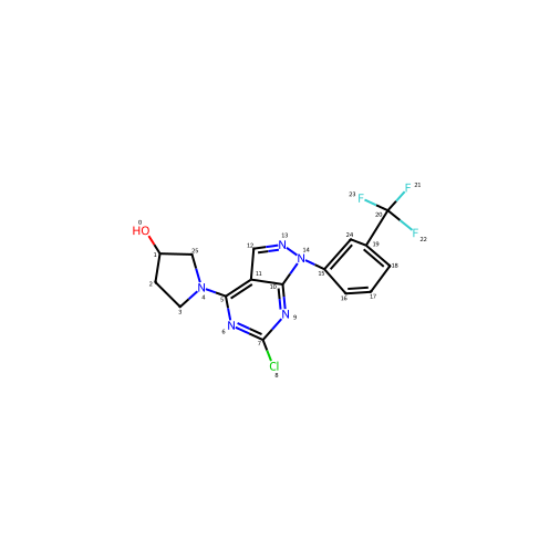 OC1CCN(c2nc(Cl)nc3c2cnn3-c2cccc(C(F)(F)F)c2)C1